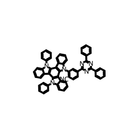 N#Cc1ccc(-c2nc(-c3ccccc3)nc(-c3ccccc3)n2)cc1-n1c2ccccc2c2c3c(c4ccccc4n3-c3ccccc3)c3c(c4ccccc4n3-c3ccccc3)c21